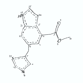 COC(=O)c1cc(-c2cncs2)cc2[nH]ccc12